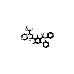 COC(=O)C(CC(=O)c1c(C)cc(C)c(C(=O)P(c2ccccc2)c2ccccc2)c1C)N1CCOCC1